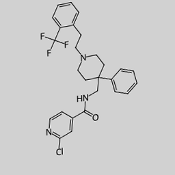 O=C(NCC1(c2ccccc2)CCN(CCc2ccccc2C(F)(F)F)CC1)c1ccnc(Cl)c1